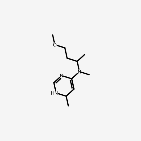 COCCC(C)N(C)C1=CC(C)NC=N1